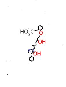 C=C(/C=C(\C=C/C)[C@@H](O)Cc1ccccc1)CC[C@H](O)CCCOc1ccccc1CCC(=O)O